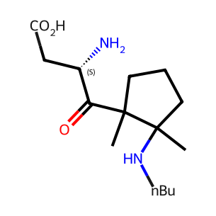 CCCCNC1(C)CCCC1(C)C(=O)[C@@H](N)CC(=O)O